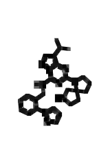 CC(C)c1cnn2c(NCc3ccccc3-n3cccn3)nc(N3CCCC34CCNC4)nc12